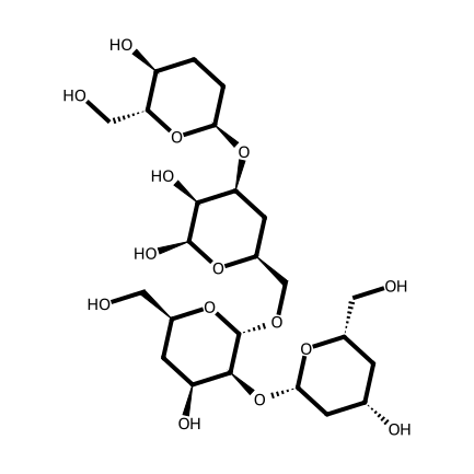 OC[C@@H]1C[C@H](O)C[C@H](O[C@@H]2[C@@H](OC[C@@H]3C[C@H](O[C@@H]4CC[C@H](O)[C@@H](CO)O4)[C@H](O)[C@H](O)O3)O[C@H](CO)C[C@@H]2O)O1